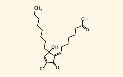 CCCCCCCCC1(O)C=C(Cl)C(=O)/C1=C/CCCCCC(=O)O